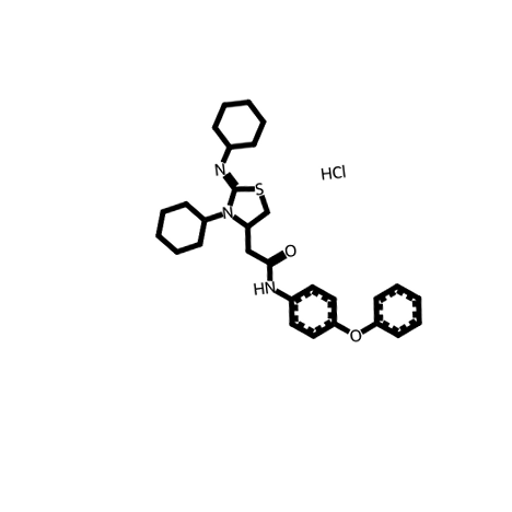 Cl.O=C(CC1CS/C(=N\C2CCCCC2)N1C1CCCCC1)Nc1ccc(Oc2ccccc2)cc1